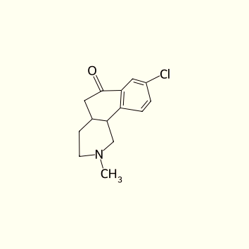 CN1CCC2CC(=O)c3cc(Cl)ccc3C2C1